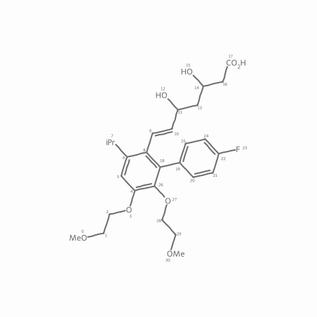 COCCOc1cc(C(C)C)c(/C=C/C(O)CC(O)CC(=O)O)c(-c2ccc(F)cc2)c1OCCOC